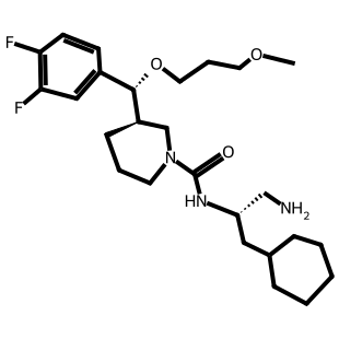 COCCCO[C@@H](c1ccc(F)c(F)c1)[C@@H]1CCCN(C(=O)N[C@H](CN)CC2CCCCC2)C1